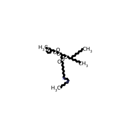 CCCCC/C=C\C/C=C\CCCCCCCC(=O)OCC(COCCC(CCCCC)CCCCCCCC)COC(=O)OCC1CCCN(C)C1